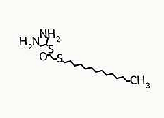 CCCCCCCCCCCCCCSCC(=O)SC(CN)CN